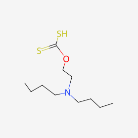 CCCCN(CCCC)CCOC(=S)S